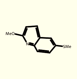 COc1ccc2cc(SC)ccc2n1